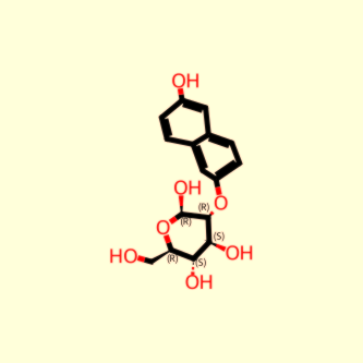 OC[C@H]1O[C@@H](O)[C@H](Oc2ccc3cc(O)ccc3c2)[C@@H](O)[C@@H]1O